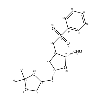 CC1(C)OCC(C[C@@H]2CC(CS(=O)(=O)c3ccccc3)[C@H](C=O)O2)O1